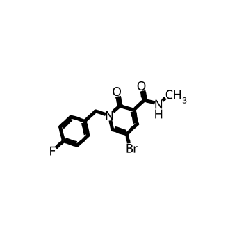 CNC(=O)c1cc(Br)cn(Cc2ccc(F)cc2)c1=O